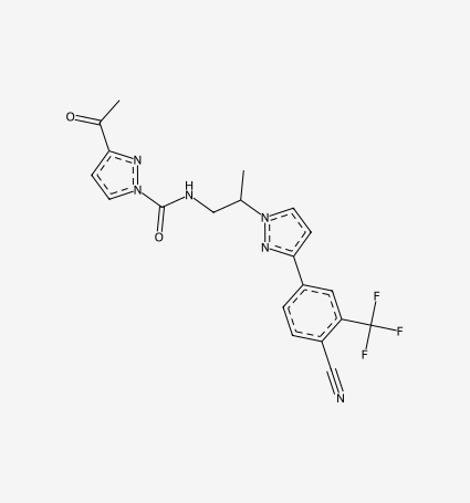 CC(=O)c1ccn(C(=O)NCC(C)n2ccc(-c3ccc(C#N)c(C(F)(F)F)c3)n2)n1